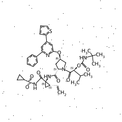 C=C[C@@H]1C[C@]1(NC(=O)[C@@H]1C[C@@H](Oc2cc(-c3cccs3)cc(-c3ccccc3)n2)CN1C(=O)[C@@H](OC(=O)NC(C)(C)C)C(C)C)C(=O)NS(=O)(=O)C1CC1